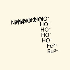 [Fe+2].[Mn+2].[Ni+2].[OH-].[OH-].[OH-].[OH-].[OH-].[OH-].[OH-].[OH-].[OH-].[Ru+3]